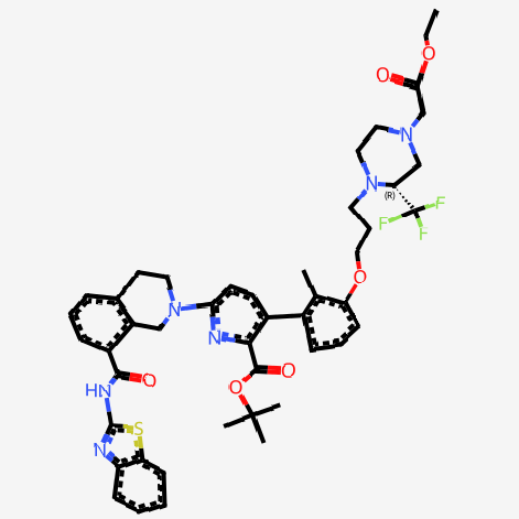 CCOC(=O)CN1CCN(CCCOc2cccc(-c3ccc(N4CCc5cccc(C(=O)Nc6nc7ccccc7s6)c5C4)nc3C(=O)OC(C)(C)C)c2C)[C@@H](C(F)(F)F)C1